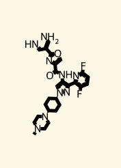 CN1CCN([C@H]2CC[C@@H](n3cc(NC(=O)c4coc(/C(C=N)=C/N)n4)c(-c4nc(F)ccc4F)n3)CC2)CC1